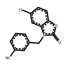 N#Cc1cccc(Cn2c(=O)oc3ccc(Cl)cc32)c1